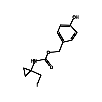 O=C(NC1(CI)CC1)OCc1ccc(O)cc1